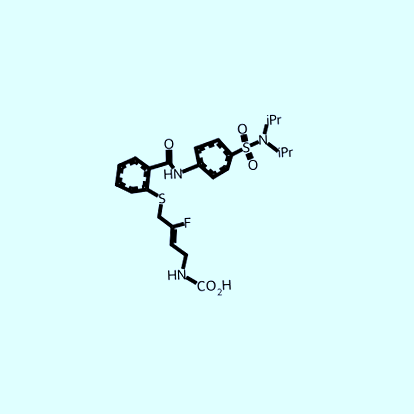 CC(C)N(C(C)C)S(=O)(=O)c1ccc(NC(=O)c2ccccc2SC/C(F)=C/CNC(=O)O)cc1